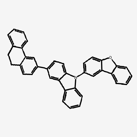 c1ccc2c(c1)CCc1ccc(-c3ccc4c(c3)c3ccccc3n4-c3ccc4oc5ccccc5c4c3)cc1-2